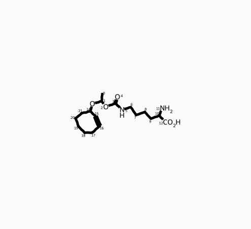 CC(OC(=O)NCCCCC(N)C(=O)O)OC1C#CCCCCC1